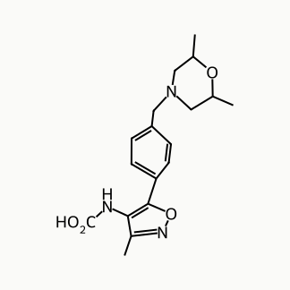 Cc1noc(-c2ccc(CN3CC(C)OC(C)C3)cc2)c1NC(=O)O